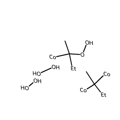 CC[C](C)([Co])OO.CC[C](C)([Co])[Co].OO.OO